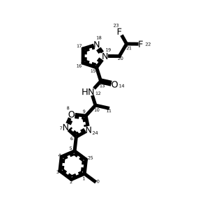 Cc1cccc(-c2noc(C(C)NC(=O)c3ccnn3CC(F)F)n2)c1